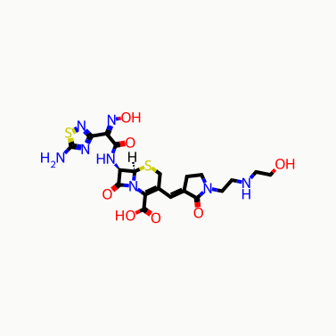 Nc1nc(/C(=N/O)C(=O)N[C@@H]2C(=O)N3C(C(=O)O)=C(C=C4CCN(CCNCCO)C4=O)CS[C@H]23)ns1